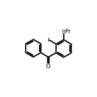 CCCc1cccc(C(=O)c2ccccc2)c1I